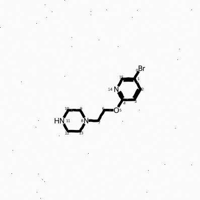 Brc1ccc(OCCN2CCNCC2)nc1